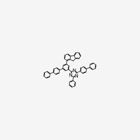 c1ccc(-c2ccc(-c3cc(-c4nc(-c5ccccc5)nc(-c5ccc(-c6ccccc6)cc5)n4)cc(-c4cccc5c4Cc4ccccc4-5)c3)cc2)cc1